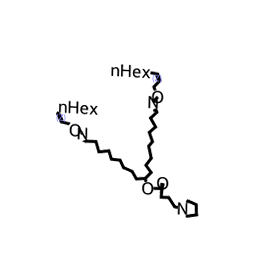 CCCCCC/C=C\CON=CCCCCCCCCC(CCCCCCCCC=NOC/C=C\CCCCCC)OC(=O)CCCN1CCCC1